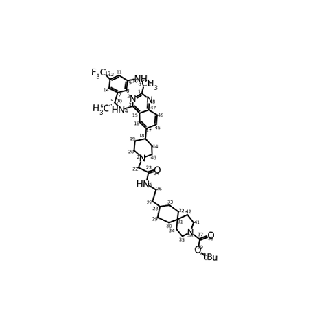 Cc1nc(N[C@H](C)c2cc(N)cc(C(F)(F)F)c2)c2cc(C3CCN(CC(=O)NCCC4CCC5(CC4)CCN(C(=O)OC(C)(C)C)CC5)CC3)ccc2n1